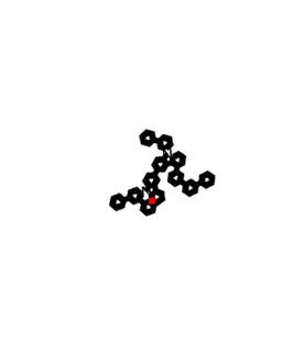 c1ccc(-c2cccc(-c3cccc(-c4cccc5c4c4cc(-c6ccc7c(c6)c6ccccc6n7-c6ccc(-c7ccccc7)cc6-c6ccccc6)ccc4n5-c4cccc(-c5ccccc5)c4)c3)c2)cc1